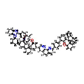 C=C(C1=C(/C=C\C)C2(c3ccc(-c4cnc5c(ccc6ccc(-c7ccc(-c8cccc9c8Oc8ccccc8C98c9ccccc9-c9ccccc98)cc7)nc65)c4)cc3O1)c1ccccc1-c1ccccc12)c1ccc(-c2nc3ccccc3n2-c2ccccc2)cc1